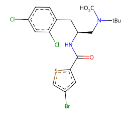 CC(C)(C)N(C[C@H](Cc1ccc(Cl)cc1Cl)NC(=O)c1cc(Br)cs1)C(=O)O